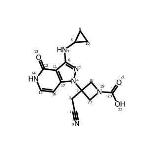 N#CCC1(n2nc(NC3CC3)c3c(=O)[nH]ccc32)CN(C(=O)O)C1